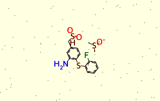 C[S+](C)[O-].Nc1cc(C[SH](=O)=O)ccc1Sc1ccccc1F